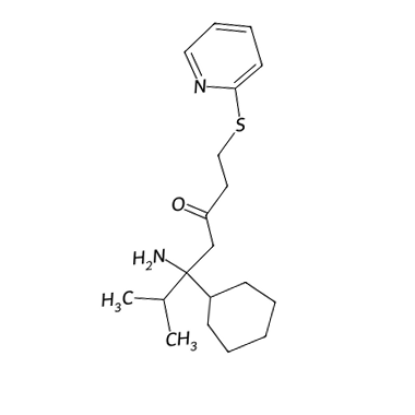 CC(C)C(N)(CC(=O)CCSc1ccccn1)C1CCCCC1